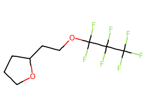 FC(F)(F)C(F)(F)C(F)(F)OCCC1CCCO1